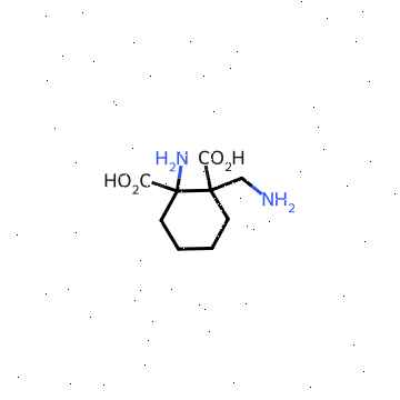 NCC1(C(=O)O)CCCCC1(N)C(=O)O